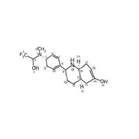 CN(C(O)C(F)(F)F)[C@@H]1C=CC(C2CC[C@@H]3CC(O)=CC[C@@H]3N2)=CC1